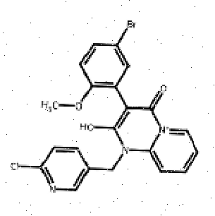 COc1ccc(Br)cc1-c1c(O)n(Cc2ccc(Cl)nc2)c2cccc[n+]2c1=O